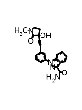 CN1CC[C@](O)(C#Cc2cccc(-n3nc(C(N)=O)c4ccccc43)c2)C1=O